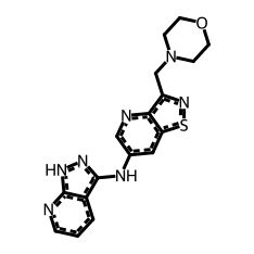 c1cnc2[nH]nc(Nc3cnc4c(CN5CCOCC5)nsc4c3)c2c1